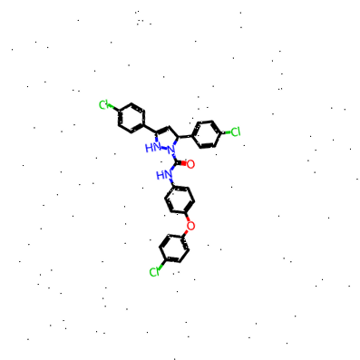 O=C(Nc1ccc(Oc2ccc(Cl)cc2)cc1)N1NC(c2ccc(Cl)cc2)=CC1c1ccc(Cl)cc1